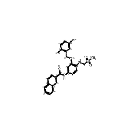 CS(=O)(=O)CNc1ccc(NC(=O)c2ccc3ccccc3c2)cc1OCc1cc(Cl)ccc1Cl